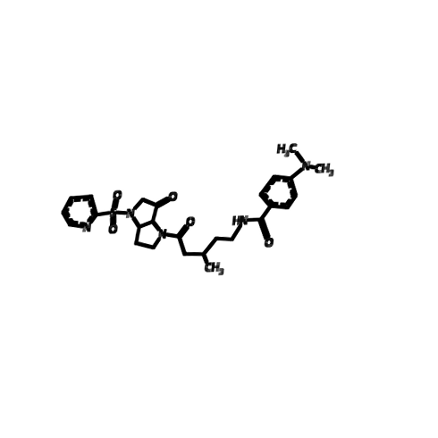 CC(CCNC(=O)c1ccc(N(C)C)cc1)CC(=O)N1CCC2C1C(=O)CN2S(=O)(=O)c1ccccn1